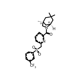 CC1(C)C[C@@H]2C[C@@](C)(CN2C(=O)c2cccc(CS(=O)(=O)c3cccc(C(F)(F)F)c3)n2)C1